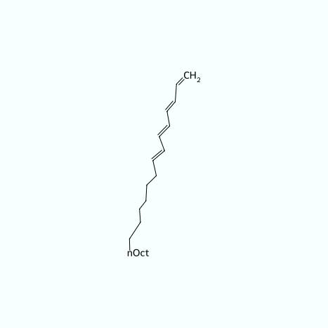 C=CC=CC=CC=CCCCCCCCCCCCCCC